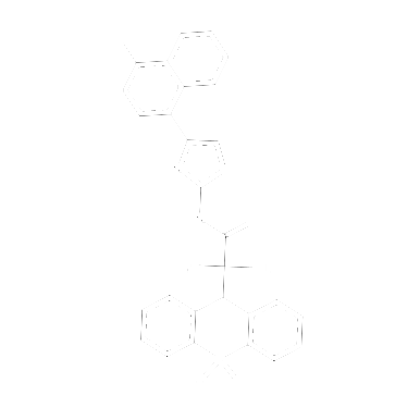 CC(C)(C(=O)Nc1nc(-c2ccc(F)c3ccccc23)cs1)C1c2ccccc2S(=O)(=O)c2ccccc21